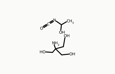 CC(O)N=C=O.NC(CO)(CO)CO